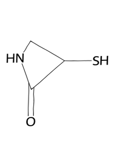 O=C1NCC1S